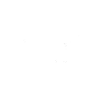 C[C@@H]1CN(C2CCC(F)(F)CC2)C[C@@]1(C)c1ccc(-c2cnc(N)c(C(=O)NC34CCC(O)(CC3)CC4)c2)cc1